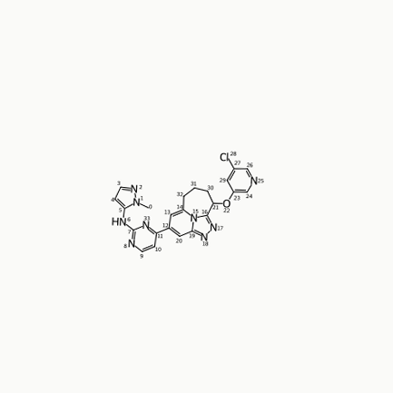 Cn1nccc1Nc1nccc(-c2cc3n4c(nnc4c2)C(Oc2cncc(Cl)c2)CCC3)n1